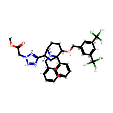 COC(=O)Cn1nnc(C2CC3(c4ccccc4)C(OCc4cc(C(F)(F)F)cc(C(F)(F)F)c4)CCC2N3Cc2ccccc2)n1